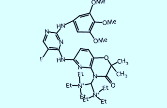 CC[N+](CC)(CC)C(N1C(=O)C(C)(C)Oc2ccc(Nc3nc(Nc4cc(OC)c(OC)c(OC)c4)ncc3F)nc21)[N+](CC)(CC)CC